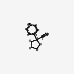 N#CC1(c2ccncc2)CCCC1